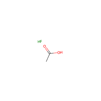 CC(=O)O.F